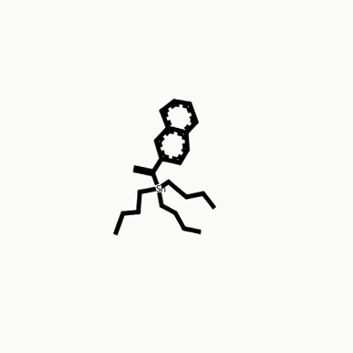 C=[C](c1ccc2ccccc2c1)[Sn]([CH2]CCC)([CH2]CCC)[CH2]CCC